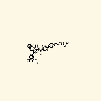 C[C@@H]1CCCN1Cc1sc(NC(=O)c2cnc(N3CCN(CCC(=O)O)CC3)cn2)nc1-c1ccc(Cl)c(C(F)(F)F)c1